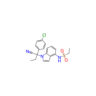 CCC(C#N)(c1ccc(Cl)cc1)n1ccc2c(NS(=O)(=O)CC)cccc21